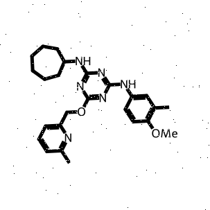 COc1ccc(Nc2nc(NC3CCCCCC3)nc(OCc3cccc(C)n3)n2)cc1C